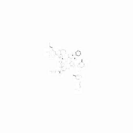 C=C1C[C@H](CCCO)O[C@H]1CC[C@H]1C[C@@H](C)C(=C)[C@@H](C[C@@H]2O[C@H](C[C@H]3CN(C(=O)OC(C)(C)C)C(C)(C)O3)[C@H](OC)[C@H]2C(C(O)C[C@H]2CCC3O[C@@H]([C@@H](O)/C=C/I)[C@@H](O)[C@@H](O)[C@H]3O2)S(=O)(=O)c2ccccc2)O1